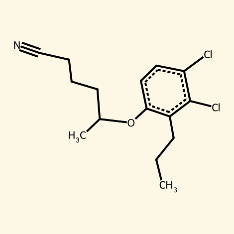 CCCc1c(OC(C)CCCC#N)ccc(Cl)c1Cl